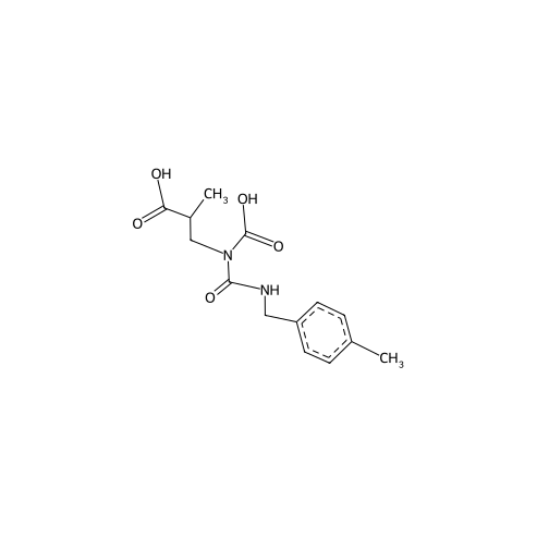 Cc1ccc(CNC(=O)N(CC(C)C(=O)O)C(=O)O)cc1